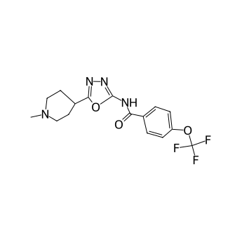 CN1CCC(c2nnc(NC(=O)c3ccc(OC(F)(F)F)cc3)o2)CC1